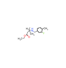 CCOC(=O)CC(C)(C)NCc1ccc(C)c(F)c1